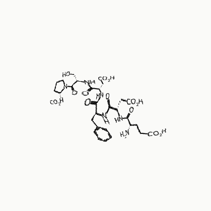 N[C@@H](CCC(=O)O)C(=O)N[C@@H](CC(=O)O)C(=O)N[C@@H](Cc1ccccc1)C(=O)N[C@@H](CC(=O)O)C(=O)N[C@@H](CO)C(=O)N1CCC[C@H]1C(=O)O